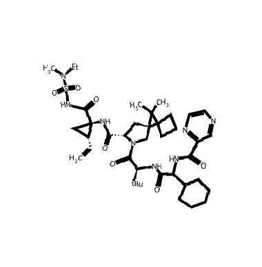 C=C[C@@H]1C[C@]1(NC(=O)[C@@H]1C[C@@]2(CN1C(=O)[C@@H](NC(=O)C(NC(=O)c1cnccn1)C1CCCCC1)C(C)(C)C)C(C)(C)C21CCC1)C(=O)NS(=O)(=O)N(C)CC